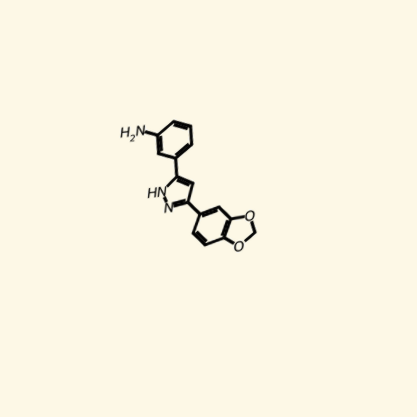 Nc1cccc(-c2cc(-c3ccc4c(c3)OCO4)n[nH]2)c1